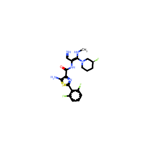 CN/C(=C(\C=N)NC(=O)c1nc(-c2c(F)cccc2F)sc1N)N1CCC[C@H](F)C1